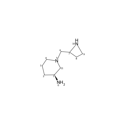 N[C@H]1CCCN(CC2CCN2)C1